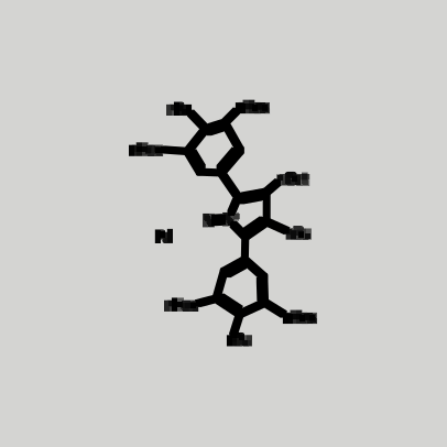 CCCCCCCCC1=C(c2cc(CCCCCC)c(CCCC)c(CCCCCC)c2)[N+](=[N-])C(c2cc(CCCCCC)c(CCCC)c(CCCCCC)c2)=C1CCCC.[Pd]